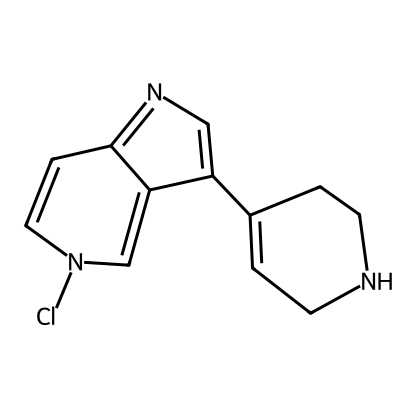 Cln1ccc2ncc(C3=CCNCC3)c-2c1